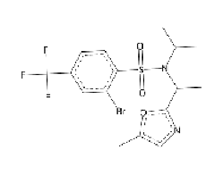 Cc1cnc(C(C)N(C(C)C)S(=O)(=O)c2ccc(C(F)(F)F)cc2Br)o1